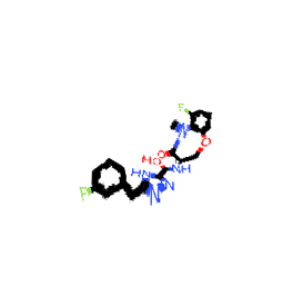 CN1C(=O)[C@@H](NC(O)c2nnc(Cc3cccc(F)c3)[nH]2)COc2cccc(F)c21